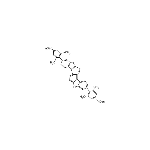 CCCCCCCCCCc1cc(C)c(-c2ccc3c(c2)oc2ccc4c(ccc5oc6cc(-c7c(C)cc(CCCCCCCCCC)cc7C)ccc6c54)c23)c(C)c1